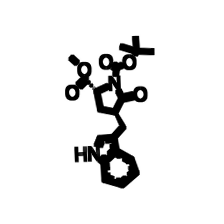 COC(=O)[C@H]1C[C@H](Cc2c[nH]c3ccccc23)C(=O)N1C(=O)OC(C)(C)C